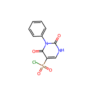 O=c1[nH]cc(S(=O)(=O)Cl)c(=O)n1-c1ccccc1